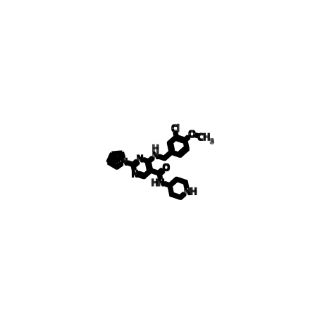 COc1ccc(CNc2nc(N3CC4C5C4C53)ncc2C(=O)NC2CCNCC2)cc1Cl